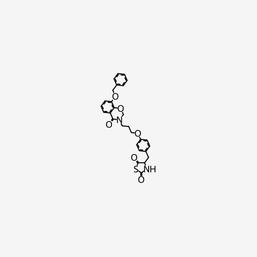 O=C1NC(Cc2ccc(OCCCN3COc4c(OCc5ccccc5)cccc4C3=O)cc2)C(=O)S1